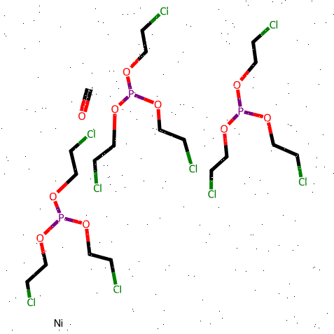 ClCCOP(OCCCl)OCCCl.ClCCOP(OCCCl)OCCCl.ClCCOP(OCCCl)OCCCl.[C]=O.[Ni]